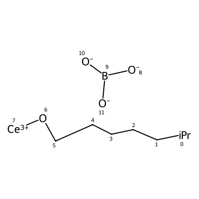 CC(C)CCCCC[O][Ce+3].[O-]B([O-])[O-]